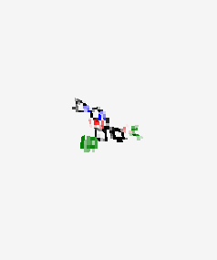 Cl.Cl.OC1([C@H](CN2CCC(N3CCCCC3)CC2)c2cccc(OC(F)(F)F)c2)CCCCC1